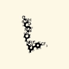 Cc1cc(CNCC2CCN(c3nccc(C=C4SC(=O)NC4=O)n3)CC2)nc(-c2ccc(C(F)(F)F)cc2C(F)(F)F)c1